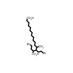 CC(C)CCC(C(=O)O)C(CCC(C)C)C(C)CCCCCCCCCCCC(=O)O